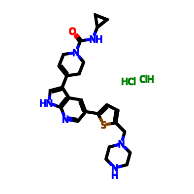 Cl.Cl.O=C(NC1CC1)N1CC=C(c2c[nH]c3ncc(-c4ccc(CN5CCNCC5)s4)cc23)CC1